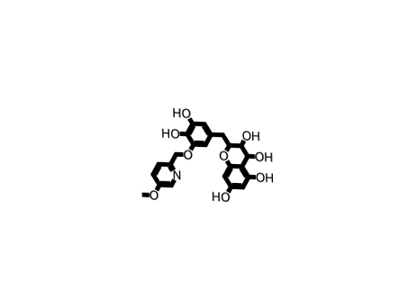 COc1ccc(COc2cc(CC3Oc4cc(O)cc(O)c4C(O)C3O)cc(O)c2O)nc1